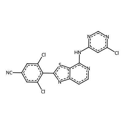 N#Cc1cc(Cl)c(-c2nc3ccnc(Nc4cc(Cl)ncn4)c3s2)c(Cl)c1